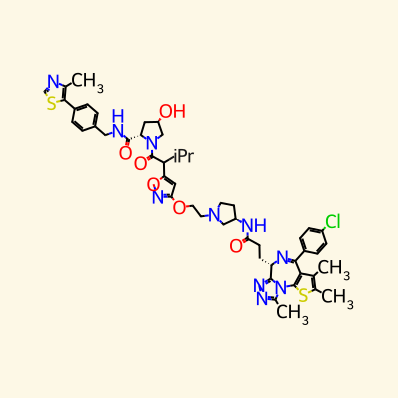 Cc1ncsc1-c1ccc(CNC(=O)[C@@H]2C[C@@H](O)CN2C(=O)C(c2cc(OCCN3CC[C@@H](NC(=O)CC[C@@H]4N=C(c5ccc(Cl)cc5)c5c(sc(C)c5C)-n5c(C)nnc54)C3)no2)C(C)C)cc1